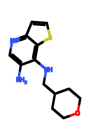 Nc1cnc2ccsc2c1NCC1CCOCC1